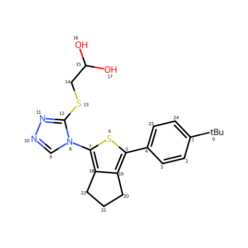 CC(C)(C)c1ccc(-c2sc(-n3cnnc3SCC(O)O)c3c2CCC3)cc1